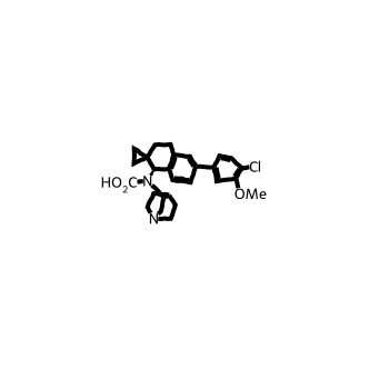 COc1cc(-c2ccc3c(c2)CCC2(CC2)[C@@H]3N(C(=O)O)C2CN3CCC2CC3)ccc1Cl